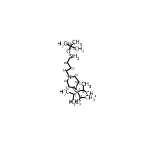 CC(C)[Si](C(C)C)(C(C)C)N1CCN(CCC[SiH2]OC(C)(C)C)CC1